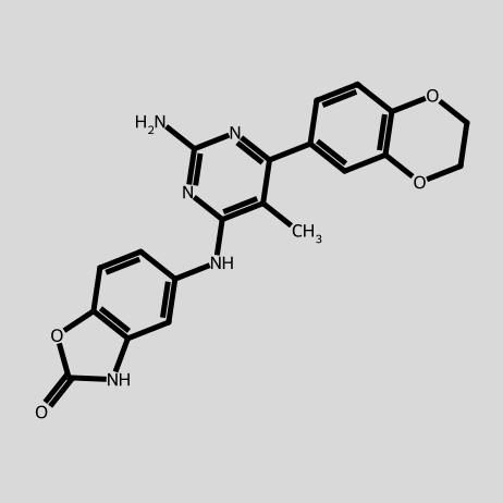 Cc1c(Nc2ccc3oc(=O)[nH]c3c2)nc(N)nc1-c1ccc2c(c1)OCCO2